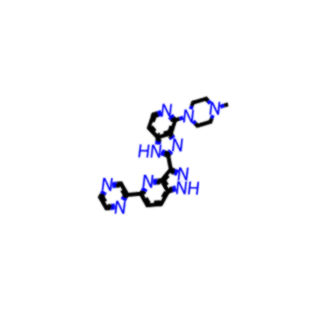 CN1CCN(c2nccc3[nH]c(-c4n[nH]c5ccc(-c6cnccn6)nc45)nc23)CC1